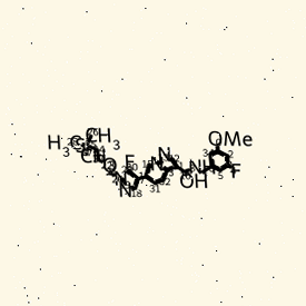 COc1cc(F)cc(CNC(O)c2cnn3cc(-c4cnn(COCC[Si](C)(C)C)c4F)ccc23)c1